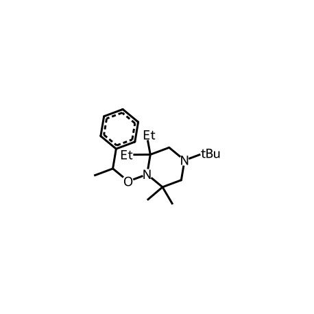 CCC1(CC)CN(C(C)(C)C)CC(C)(C)N1OC(C)c1ccccc1